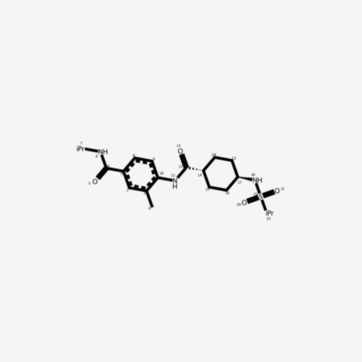 Cc1cc(C(=O)NC(C)C)ccc1NC(=O)[C@H]1CC[C@H](NS(=O)(=O)C(C)C)CC1